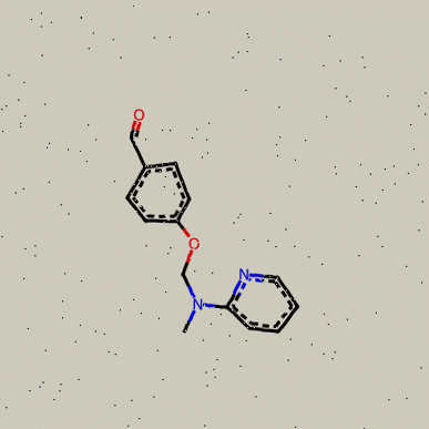 CN(COc1ccc(C=O)cc1)c1ccccn1